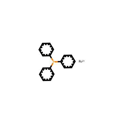 [Ru+2].c1ccc(P(c2ccccc2)c2ccccc2)cc1